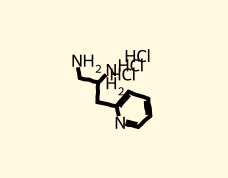 Cl.Cl.Cl.NCC(N)Cc1ccccn1